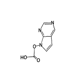 O=C(O)On1ccc2cncnc21